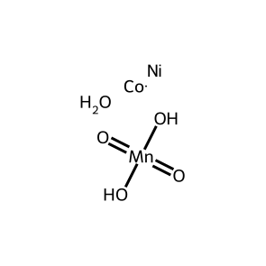 O.[Co].[Ni].[O]=[Mn](=[O])([OH])[OH]